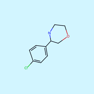 Clc1ccc(C2COCC[N]2)cc1